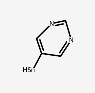 [SnH][c]1cncnc1